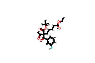 CCOC(=O)CCCCC(C(C)=O)(C(=O)OC(C)(C)C)C(=O)c1cccc(F)c1